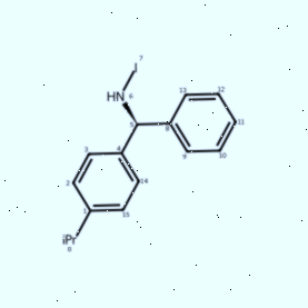 CC(C)c1ccc([C@@H](NI)c2ccccc2)cc1